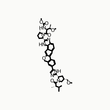 COC[C@H]1C[C@@H](c2ncc(-c3ccc4c(c3)COc3cc5c(ccc6nc([C@@H]7CC[C@H](C)N7C(=O)[C@@H](NC(=O)OC)[C@@H](C)OC)[nH]c65)cc3-4)[nH]2)N(C(=O)[C@@H](C)C(C)C)C1